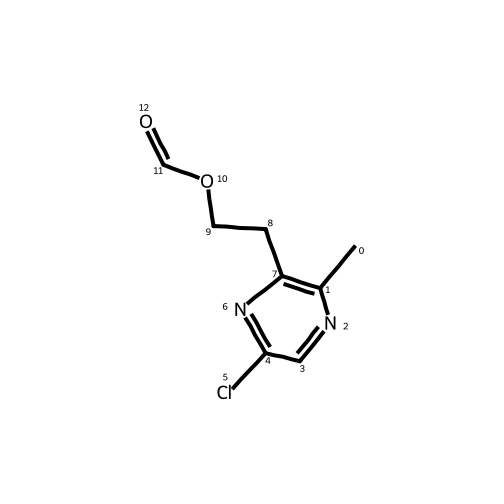 Cc1ncc(Cl)nc1CCOC=O